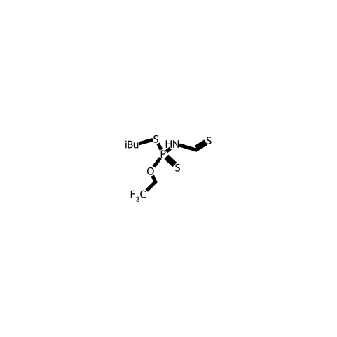 CCC(C)SP(=S)(NC=S)OCC(F)(F)F